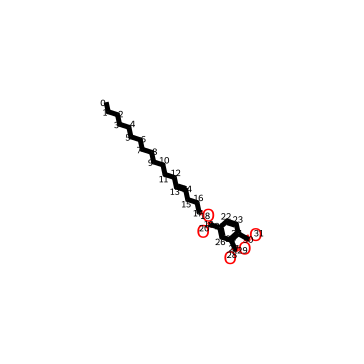 CCCCCCCCCCCCCC=CCCCOC(=O)c1ccc2c(c1)C(=O)OC2=O